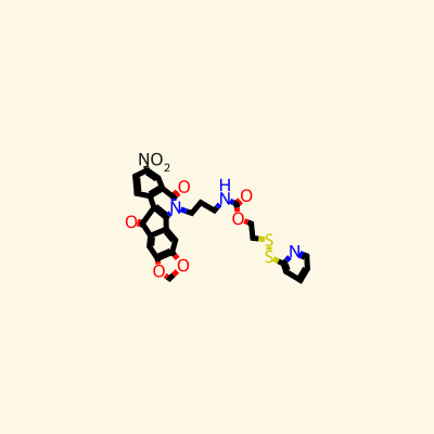 O=C(NCCCn1c2c(c3ccc([N+](=O)[O-])cc3c1=O)C(=O)c1cc3c(cc1-2)OCO3)OCCSSc1ccccn1